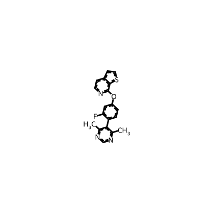 Cc1ncnc(C)c1-c1ccc(Oc2nccc3ccsc23)cc1F